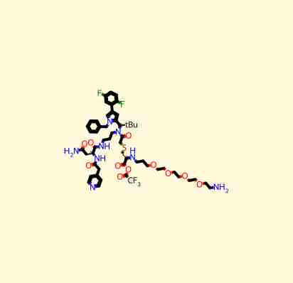 CC(C)(C)[C@H](c1cc(-c2cc(F)ccc2F)cn1Cc1ccccc1)N(CCCNC(=O)[C@H](CC(N)=O)NC(=O)Cc1ccncc1)C(=O)CSC[C@H](NCCCOCCOCCOCCOCCN)C(=O)OC(=O)C(F)(F)F